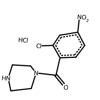 Cl.O=C(c1ccc([N+](=O)[O-])cc1Cl)N1CCNCC1